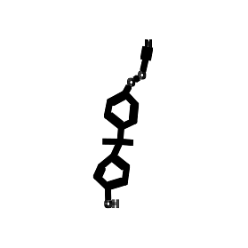 CC(C)(c1ccc(O)cc1)c1ccc(OOC#N)cc1